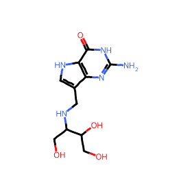 Nc1nc2c(CNC(CO)C(O)CO)c[nH]c2c(=O)[nH]1